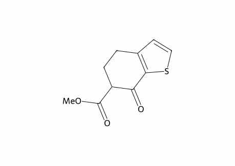 COC(=O)C1CCc2ccsc2C1=O